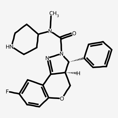 CN(C(=O)N1N=C2c3cc(F)ccc3OC[C@@H]2[C@H]1c1ccccc1)C1CCNCC1